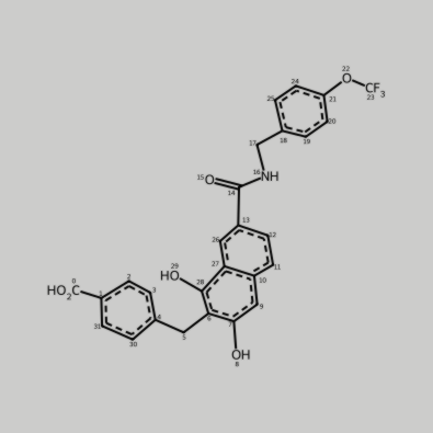 O=C(O)c1ccc(Cc2c(O)cc3ccc(C(=O)NCc4ccc(OC(F)(F)F)cc4)cc3c2O)cc1